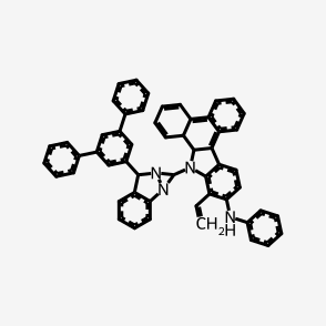 C=Cc1c(Nc2ccccc2)ccc2c1N(C1N3c4ccccc4C(c4cc(-c5ccccc5)cc(-c5ccccc5)c4)N13)C1C2=c2ccccc2=C2C=CC=CC21